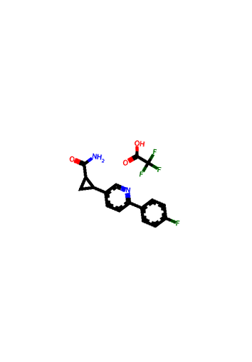 NC(=O)C1CC1c1ccc(-c2ccc(F)cc2)nc1.O=C(O)C(F)(F)F